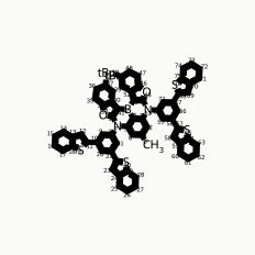 Cc1cc2c3c(c1)N(c1cc(-c4cc5ccccc5s4)cc(-c4cc5ccccc5s4)c1)c1oc4ccc(C(C)(C)C)cc4c1B3c1c(oc3ccc(C(C)(C)C)cc13)N2c1cc(-c2cc3ccccc3s2)cc(-c2cc3ccccc3s2)c1